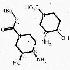 CC(C)(C)OC(=O)N1CC[C@@H](N)[C@@H](O)C1.N[C@@H]1CN(C(=O)O)CC[C@@H]1O